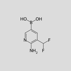 Nc1ncc(B(O)O)cc1C(F)F